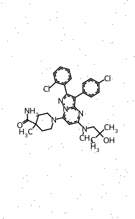 CN(CC(C)(C)O)c1cc(N2CCC(C)(C(N)=O)CC2)n2nc(-c3ccccc3Cl)c(-c3ccc(Cl)cc3)c2n1